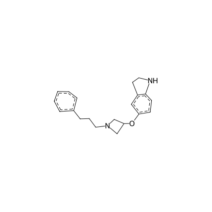 c1ccc(CCCN2CC(Oc3ccc4c(c3)CCN4)C2)cc1